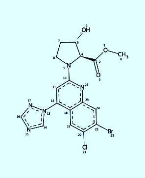 COC(=O)[C@@H]1[C@@H](O)CCN1c1cc(-n2cncn2)c2cc(Cl)c(Br)cc2n1